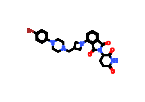 O=C1CCC(N2C(=O)c3cccc(N4CC(CN5CCN(c6ccc(Br)cc6)CC5)C4)c3C2=O)C(=O)N1